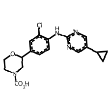 O=C(O)N1CCOC(c2ccc(Nc3ncc(C4CC4)cn3)c(Cl)c2)C1